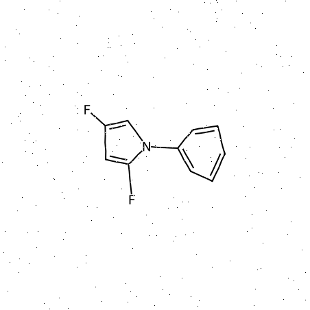 Fc1cc(F)n(-c2ccccc2)c1